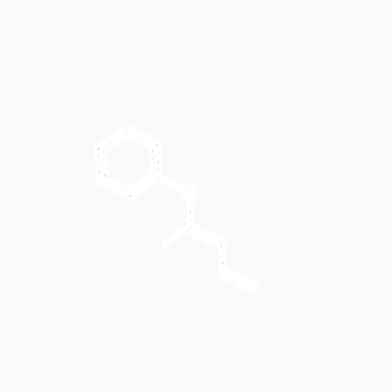 C=C/C=C(\C)Oc1ccccc1